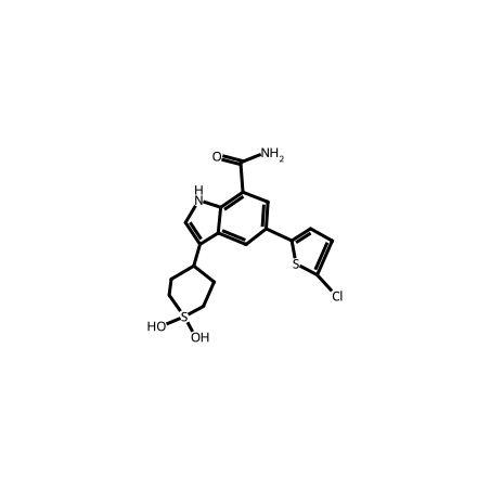 NC(=O)c1cc(-c2ccc(Cl)s2)cc2c(C3CCS(O)(O)CC3)c[nH]c12